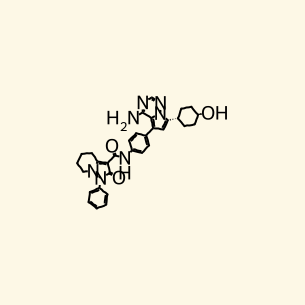 Nc1ncnn2c1c(-c1ccc(NC(=O)c3c4n(n(-c5ccccc5)c3=O)CCCC4)cc1)cc2[C@H]1CC[C@H](O)CC1